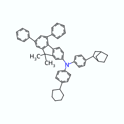 CC1(C)c2cc(N(c3ccc(C4CCCCC4)cc3)c3ccc(C4CC5CCC4C5)cc3)ccc2-c2c(-c3ccccc3)cc(-c3ccccc3)cc21